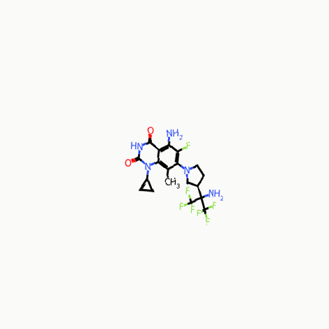 Cc1c(N2CCC(C(N)(C(F)(F)F)C(F)(F)F)C2)c(F)c(N)c2c(=O)[nH]c(=O)n(C3CC3)c12